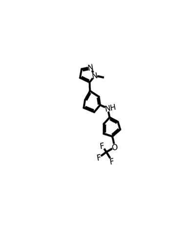 Cn1nccc1-c1cccc(Nc2ccc(OC(F)(F)F)cc2)c1